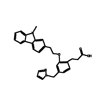 Cn1c2ccccc2c2ccc(CCOc3cc(Cn4cccn4)ccc3CCC(=O)O)cc21